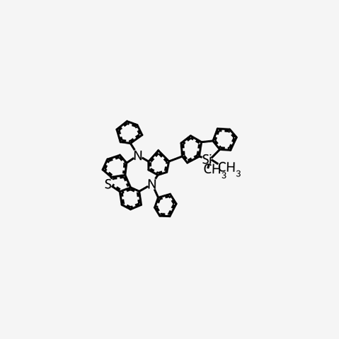 C[Si]1(C)c2ccccc2-c2ccc(-c3cc4cc(c3)N(c3ccccc3)c3cccc5sc6cccc(c6c35)N4c3ccccc3)cc21